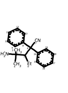 CCC(C(C)(C)N)C(C#N)(c1ccccc1)c1ccccc1